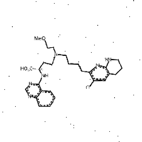 COCCN(CCCCc1nc2c(cc1Cl)CCCN2)CC[C@H](Nc1ncnc2ccccc12)C(=O)O